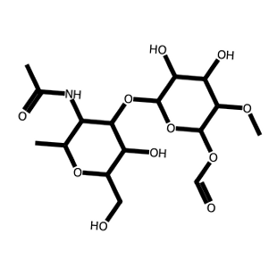 COC1C(OC=O)OC(OC2C(O)C(CO)OC(C)C2NC(C)=O)C(O)C1O